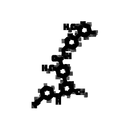 Cc1cc(Nc2cccc(C#N)c2)nc(-c2cnc(C(=O)NCc3ccc(-c4cc(F)cnc4C)nc3)c(C)c2)n1